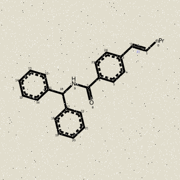 CCC/C=C/c1ccc(C(=O)NC(c2ccccc2)c2ccccc2)cc1